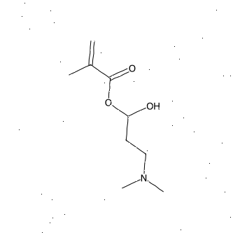 C=C(C)C(=O)OC(O)CCN(C)C